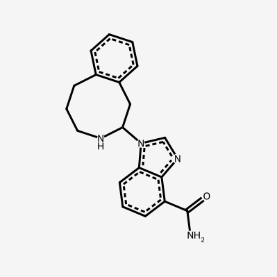 NC(=O)c1cccc2c1ncn2C1Cc2ccccc2CCCN1